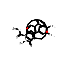 Cc1ccc(-c2cc3ccc2CCCc2ccc(c(-c4ccc(NC(=O)OC(C)(C)C)c(NC(=O)OC(C)(C)C)c4)c2)CCC3)cc1C